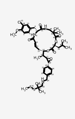 COc1ccc(C[C@H]2NC(=O)/C=C/C[C@@H]([C@H](C)[C@H]3O[C@@H]3c3ccc(CNCC(C)(C)SSC)cc3)OC(=O)[C@H](CC(C)C)OC(=O)C(C)(C)CNC2=O)cc1Cl